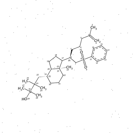 C=C(C)CCC[C@@H](CS(=O)(=O)c1ccccc1)C1CCC2[C@@H](CC(C)(C)[Si](C)(C)O)CCC[C@@]21C